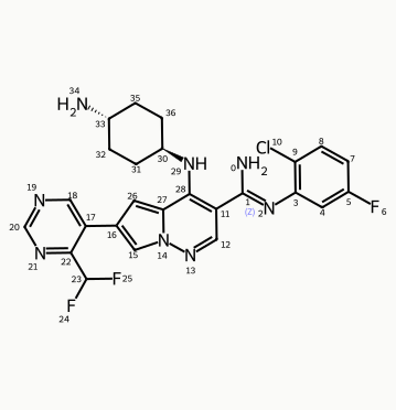 N/C(=N\c1cc(F)ccc1Cl)c1cnn2cc(-c3cncnc3C(F)F)cc2c1N[C@H]1CC[C@H](N)CC1